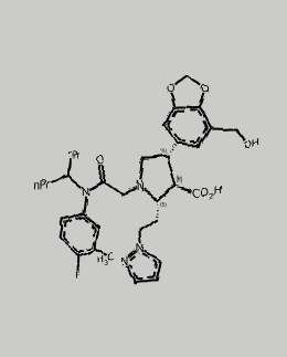 CCCC(CCC)N(C(=O)CN1C[C@H](c2cc(CO)c3c(c2)OCO3)[C@@H](C(=O)O)[C@@H]1CCn1cccn1)c1ccc(F)c(C)c1